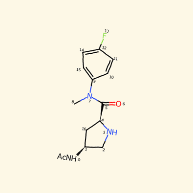 CC(=O)N[C@@H]1CN[C@H](C(=O)N(C)c2ccc(F)cc2)C1